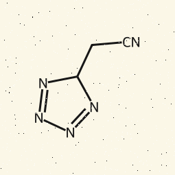 N#CCC1N=NN=N1